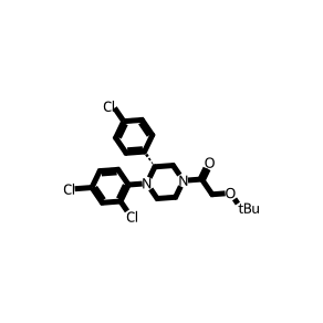 CC(C)(C)OCC(=O)N1CCN(c2ccc(Cl)cc2Cl)[C@H](c2ccc(Cl)cc2)C1